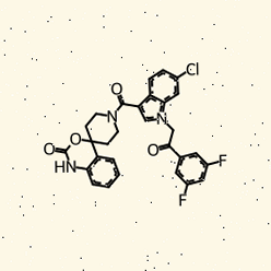 O=C1Nc2ccccc2C2(CCN(C(=O)c3cn(CC(=O)c4cc(F)cc(F)c4)c4cc(Cl)ccc34)CC2)O1